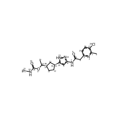 Cc1nc(CC(=O)Nc2cc([C@H]3CC[C@@H](C(C)OC(=O)NC(C)C)C3)[nH]n2)ccc1Cl